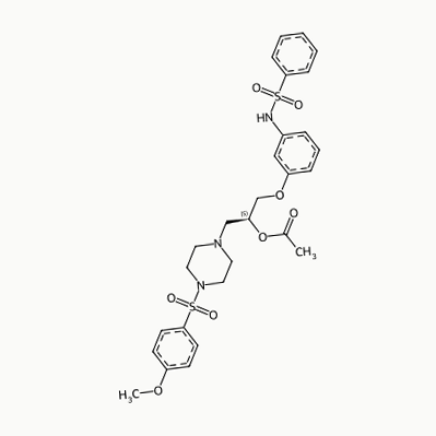 COc1ccc(S(=O)(=O)N2CCN(C[C@@H](COc3cccc(NS(=O)(=O)c4ccccc4)c3)OC(C)=O)CC2)cc1